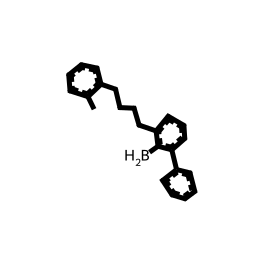 Bc1c(CCCCc2ccccc2C)cccc1-c1ccccc1